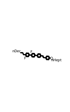 CCCCCCCCCCCCCc1ccc(-c2ccc(-c3ccc(C=Cc4ccc(OCCCCCCC)cc4)cc3)cc2F)cc1F